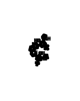 CC(C)(C)c1cc(-c2cnc3ccc4ccc(-c5cc(C(C)(C)C)cc(-c6ccc[nH]6)c5O)nc4c3c2)c(O)c(-c2ccc[nH]2)c1